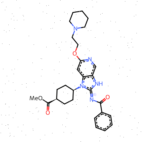 COC(=O)[C@H]1CC[C@@H](n2/c(=N/C(=O)c3ccccc3)[nH]c3cnc(OCCN4CCCCC4)cc32)CC1